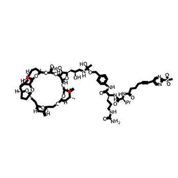 C=C1C[C@@H]2CC[C@]34CC[C@H](O3)C3O[C@H]5CC[C@H](CC(=O)C[C@@H]6[C@@H](OC)[C@@H](C[C@H](O)CNC(C)(O)OCc7ccc(NC(=O)[C@H](CCCNC(N)=O)NC(=O)[C@@H](NC(=O)CCCC#Cc8cnc(S(C)(=O)=O)nc8)C(C)C)cc7)O[C@H]6C[C@H]6O[C@@H](CC[C@@H]1O2)C[C@@H](C)C6=C)O[C@@H]5[C@H](O4)[C@@H]3C